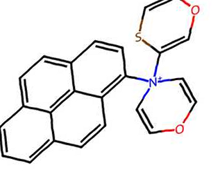 C1=CSC([N+]2(c3ccc4ccc5cccc6ccc3c4c56)C=COC=C2)=CO1